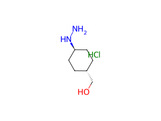 Cl.NN[C@H]1CC[C@H](CO)CC1